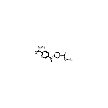 CNC(=O)c1ccc(N(C)[C@@H]2CCN(C(=O)OC(C)(C)C)C2)cn1